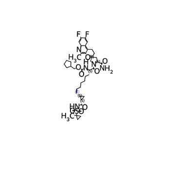 Cc1nc2cc(F)c(F)cc2c2c1O[C@]1(CC2)C[C@@H](C(N)=O)N(C(=O)[C@H](CCCCC/C=C\[C@@H]2C[C@@H]2C(=O)NS(=O)(=O)C2(C)CC2)NC(=O)OCC2CCCC2)C1